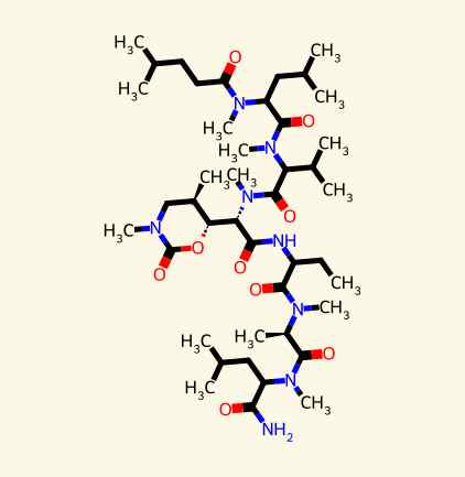 CCC(NC(=O)[C@H]([C@@H]1OC(=O)N(C)C[C@H]1C)N(C)C(=O)C(C(C)C)N(C)C(=O)C(CC(C)C)N(C)C(=O)CCC(C)C)C(=O)N(C)[C@H](C)C(=O)N(C)C(CC(C)C)C(N)=O